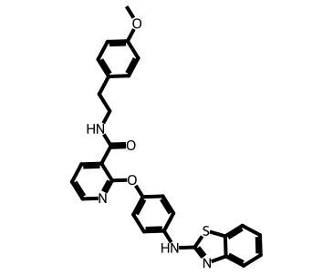 COc1ccc(CCNC(=O)c2cccnc2Oc2ccc(Nc3nc4ccccc4s3)cc2)cc1